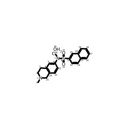 CN1CCc2cc(N(Cl)S(=O)(=O)c3ccc4ccccc4c3)ccc2C1.O